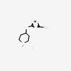 Nc1nnc(OC2CCN(C(=O)O)CC2)s1